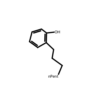 CCCCCCCCc1[c]cccc1O